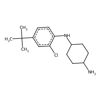 CC(C)(C)c1ccc(NC2CCC(N)CC2)c(Cl)c1